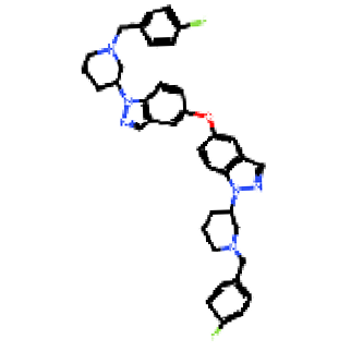 Fc1ccc(CN2CCCC(n3ncc4cc(Oc5ccc6c(cnn6C6CCCN(Cc7ccc(F)cc7)C6)c5)ccc43)C2)cc1